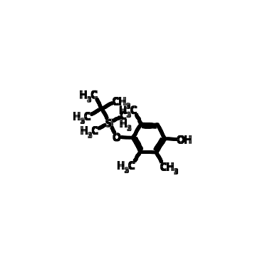 Cc1cc(O)c(C)c(C)c1O[Si](C)(C)C(C)(C)C